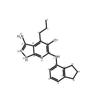 CCCc1c(Cl)c(Nc2cccc3c2CCC3)nc2[nH]nc(N)c12